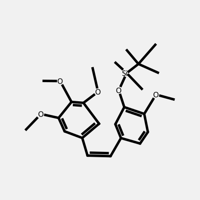 COc1ccc(/C=C\c2cc(OC)c(OC)c(OC)c2)cc1O[Si](C)(C)C(C)(C)C